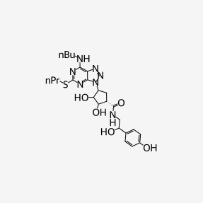 CCCCNc1nc(SCCC)nc2c1nnn2C1C[C@H](C(=O)NCC(O)c2ccc(O)cc2)C(O)C1O